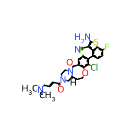 CN(C)C/C=C/C(=O)N1CCN2C(=O)c3cc(F)c(-c4ccc(F)c5sc(N)c(C#N)c45)c(Cl)c3OCC[C@H]2C1